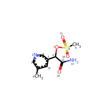 Cc1cncc(C(OS(C)(=O)=O)C(N)=O)c1